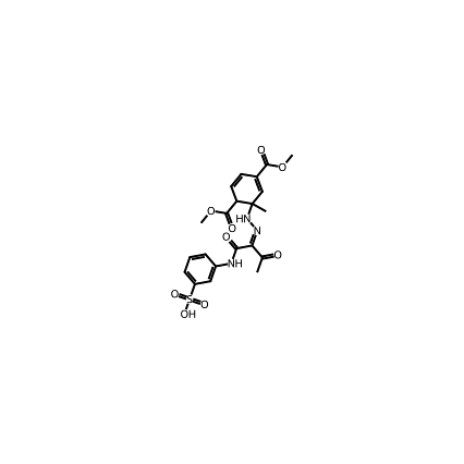 COC(=O)C1=CC(C)(N/N=C(/C(C)=O)C(=O)Nc2cccc(S(=O)(=O)O)c2)C(C(=O)OC)C=C1